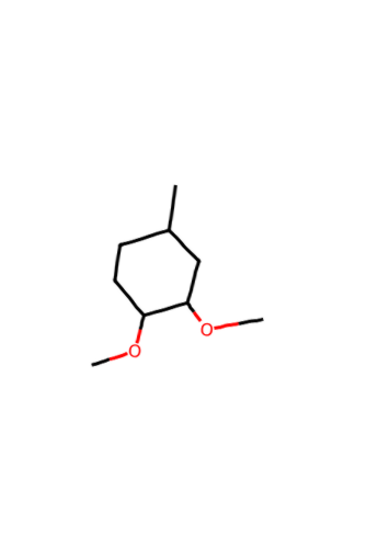 COC1CCC(C)CC1OC